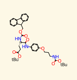 CC(C)(C)OC(=O)CC[C@H](NC(=O)OCC1c2ccccc2-c2ccccc21)C(=O)Nc1ccc(OCCCNC(=O)OC(C)(C)C)cc1